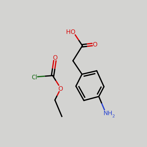 CCOC(=O)Cl.Nc1ccc(CC(=O)O)cc1